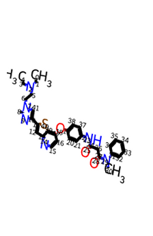 CCN(CC)CCn1cnc(-c2cc3nccc(Oc4ccc(NC(=O)CC(=O)N(C)c5ccccc5)cc4)c3s2)c1